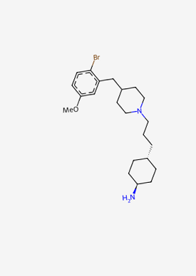 COc1ccc(Br)c(CC2CCN(CCC[C@H]3CC[C@H](N)CC3)CC2)c1